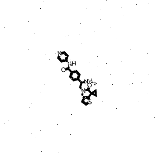 CN(CC(N)c1ccc(C(=O)Nc2ccncc2)cc1)C(=O)C1(c2cccs2)CC1